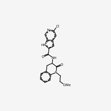 COCCN1C(=O)C(NC(=O)c2cc3cc(Cl)ncc3[nH]2)Cc2ccccc21